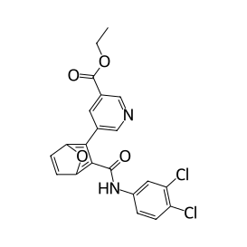 CCOC(=O)c1cncc(-c2c(C(=O)Nc3ccc(Cl)c(Cl)c3)c3ccc2o3)c1